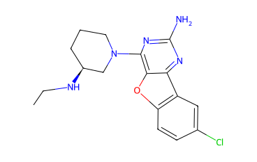 CCN[C@H]1CCCN(c2nc(N)nc3c2oc2ccc(Cl)cc23)C1